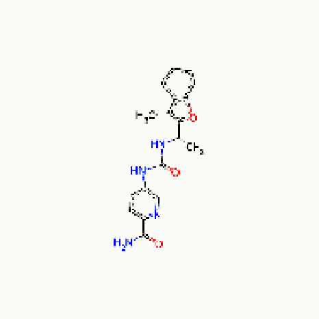 Cc1c([C@H](C)NC(=O)Nc2ccc(C(N)=O)nc2)oc2ccccc12